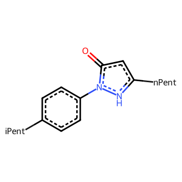 CCCCCc1cc(=O)n(-c2ccc(C(C)CCC)cc2)[nH]1